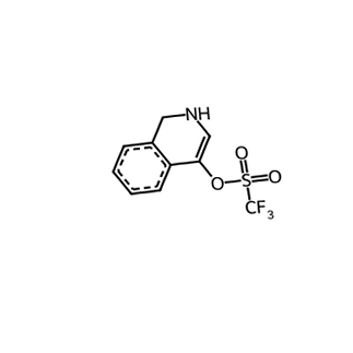 O=S(=O)(OC1=CNCc2ccccc21)C(F)(F)F